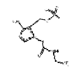 CS(=O)(=O)OCc1c([N+](=O)[O-])ncn1CC(=O)NCC(F)(F)F